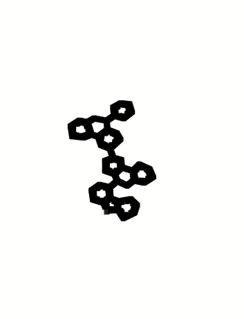 c1ccc(C2Cc3ccccc3-c3cc(-c4ccc5c(c4)-c4ccccc4CC5c4cccc5sc6ccccc6c45)ccc32)cc1